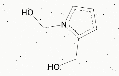 OCc1cccn1CO